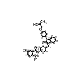 C[C@H](O)COc1ccc(-n2c(=O)n(CC3CCC(NC(=O)c4cc(Cl)cnc4C(F)F)CC3)c3ccccc32)cn1